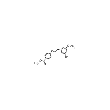 COC(=O)c1ccc(OCCc2cc(Br)cc(OC)c2)cc1